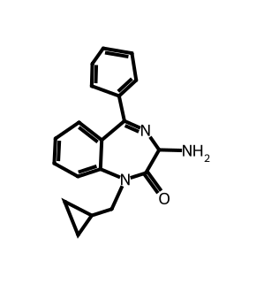 NC1N=C(c2ccccc2)c2ccccc2N(CC2CC2)C1=O